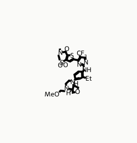 CCc1cc(N2CCN(CCOC)[C@@H]3COC[C@@H]32)ccc1Nc1ncc(C(F)(F)F)c(-c2cc3c(s2)C(=O)N(C)CCS3(=O)=O)n1